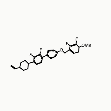 C=CC1CCC(c2ccc(-c3ccc(OCC4=CCC(OC)C(F)=C4F)cc3)c(F)c2F)CC1